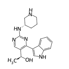 C[C@H](O)c1cnc(N[C@H]2CCCNC2)nc1-c1c[nH]c2ccccc12